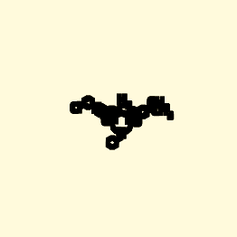 C=C1CN(S(=O)(=O)c2ccc(N(C)C)cc2)CCCN(CC2CCCCC2)CCCN(S(=O)(=O)N2CCN(c3cccc(Cl)c3)CC2)C1